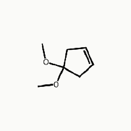 COC1(OC)CC=CC1